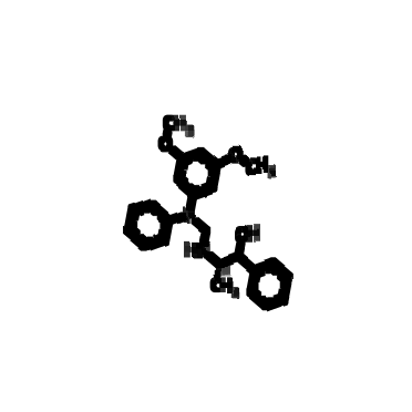 COc1cc(OC)cc(P(CN[C@@H](C)C(O)c2ccccc2)c2ccccc2)c1